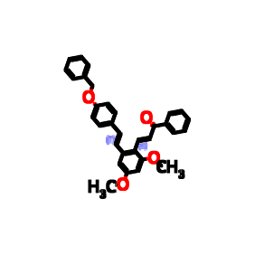 COc1cc(/C=C/c2ccc(OCc3ccccc3)cc2)c(/C=C/C(=O)c2ccccc2)c(OC)c1